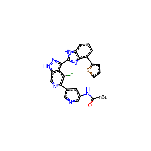 CCCCC(=O)Nc1cncc(-c2ncc3[nH]nc(-c4nc5c(-c6cccs6)cccc5[nH]4)c3c2F)c1